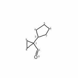 O=[C]C1(C2CCCC2)CC1